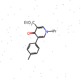 CCOC(=O)c1cn(C(C)C)cc(-c2ccc(C)cc2)c1=O